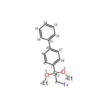 CCO[Si](CI)(OCC)c1ccc(-c2ccccc2)cc1